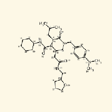 CC(C)C[C@H]1C(=O)N(Cc2ccc(N(C)C)cc2)C[C@@H](CC(=O)NCC2CCCO2)N1C(=O)NC1CCCCC1